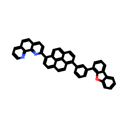 c1cc(-c2ccc3ccc4c(-c5ccc6ccc7cccnc7c6n5)ccc5ccc2c3c54)cc(-c2cccc3c2oc2ccccc23)c1